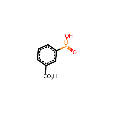 O=C(O)c1cccc([PH](=O)O)c1